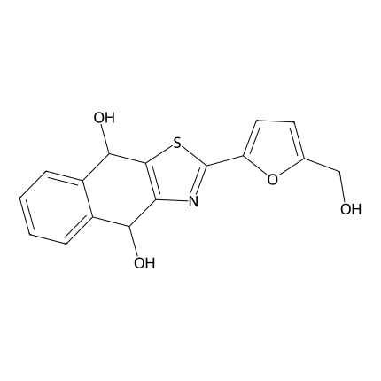 OCc1ccc(-c2nc3c(s2)C(O)c2ccccc2C3O)o1